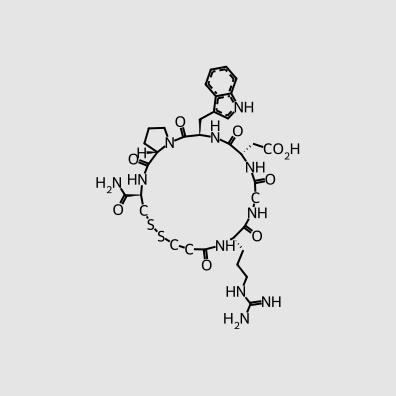 N=C(N)NCCC[C@@H]1NC(=O)CCSSC[C@@H](C(N)=O)NC(=O)[C@@H]2CCCN2C(=O)[C@@H](Cc2c[nH]c3ccccc23)NC(=O)[C@H](CC(=O)O)NC(=O)CNC1=O